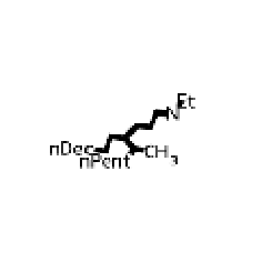 CCCCCCCCCCCCC(CC/C=N/CC)C(C)CCCCC